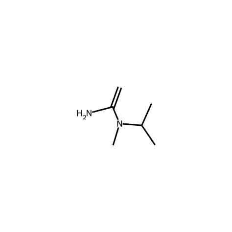 C=C(N)N(C)C(C)C